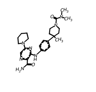 CN(C)C(=O)N1CCC(C)(c2ccc(Nc3nc(N4CCCCC4)cnc3C(N)=O)cc2)CC1